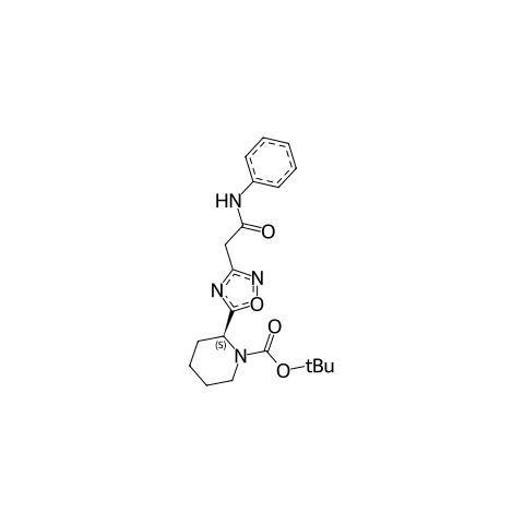 CC(C)(C)OC(=O)N1CCCC[C@H]1c1nc(CC(=O)Nc2ccccc2)no1